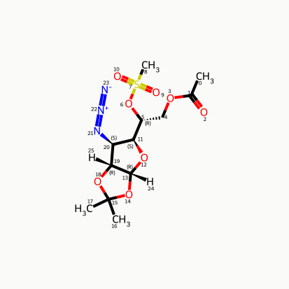 CC(=O)OC[C@@H](OS(C)(=O)=O)[C@H]1O[C@@H]2OC(C)(C)O[C@@H]2[C@H]1N=[N+]=[N-]